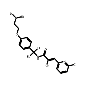 CCN(CC)CCOc1ccc(C(CC)(CC)NC(=O)/C(C#N)=C/c2cccc(Cl)n2)cc1